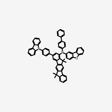 CC1(C)c2ccccc2-c2cc3c(cc21)-c1cc(-c2ccc(-n4c5ccccc5c5ccccc54)cc2)cc(N(c2ccc(-c4ccccc4)cc2)c2ccc4oc5ccccc5c4c2)c1C3(C)C